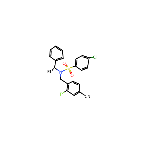 CC[C@@H](c1ccccc1)N(Cc1ccc(C#N)cc1F)S(=O)(=O)c1ccc(Cl)cc1